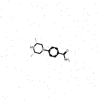 C[C@@H]1CN(c2ccc(C(N)=O)cc2)C[C@H](C)N1